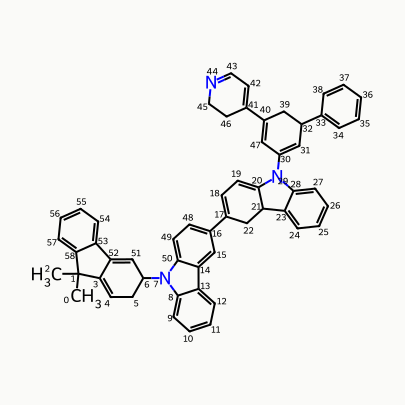 CC1(C)C2=CCC(n3c4ccccc4c4cc(C5=CC=C6C(C5)c5ccccc5N6C5=CC(c6ccccc6)CC(C6=CC=NCC6)=C5)ccc43)C=C2c2ccccc21